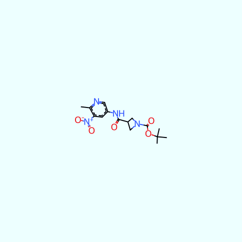 Cc1ncc(NC(=O)C2CN(C(=O)OC(C)(C)C)C2)cc1[N+](=O)[O-]